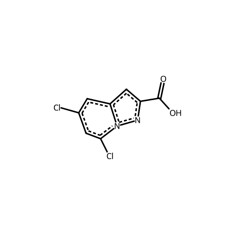 O=C(O)c1cc2cc(Cl)cc(Cl)n2n1